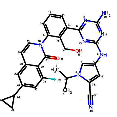 CC(C)n1cc(Nc2nc(N)nc(-c3cccc(-n4ccc5cc(C6CC6)cc(F)c5c4=O)c3CO)n2)cc1C#N